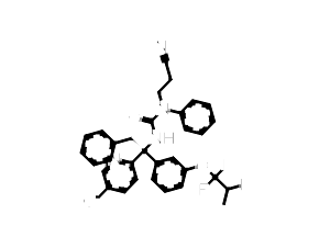 CC(F)C(F)(F)Oc1cccc([C@@](Cc2ccccc2)(NC(=O)N(CCC#N)c2ccccc2)c2ccc(Cl)cn2)c1